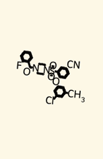 Cc1cc(Cl)cc(Oc2ccc(C#N)cc2S(=O)(=O)N2CCN(C(=O)c3ccccc3F)CC2)c1